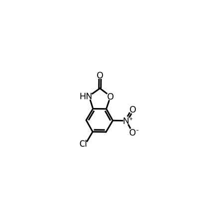 O=c1[nH]c2cc(Cl)cc([N+](=O)[O-])c2o1